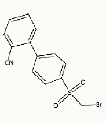 N#Cc1ccccc1-c1ccc(S(=O)(=O)CBr)cc1